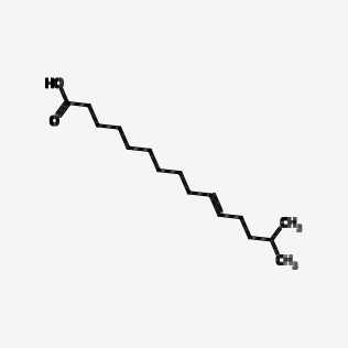 CC(C)CCC=CCCCCCCCCC(=O)O